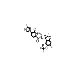 Cc1ncn(-c2ccc3n(c2=O)CCN(C[C@]24C[C@@]2(C)Oc2cc(F)c(OC(F)(F)F)cc24)C3=O)n1